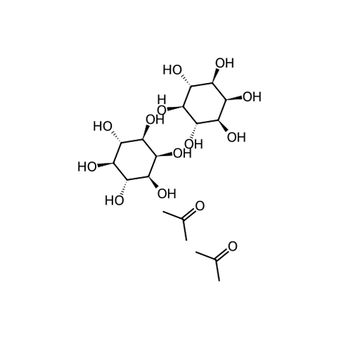 CC(C)=O.CC(C)=O.O[C@H]1[C@H](O)[C@@H](O)[C@H](O)[C@@H](O)[C@H]1O.O[C@H]1[C@H](O)[C@@H](O)[C@H](O)[C@@H](O)[C@H]1O